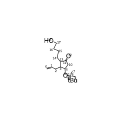 C=CCC1C(O[Si](C)(C)C(C)(C)C)CC(=O)C1CCCCO